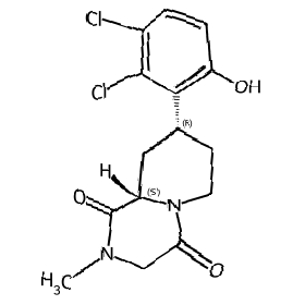 CN1CC(=O)N2CC[C@@H](c3c(O)ccc(Cl)c3Cl)C[C@H]2C1=O